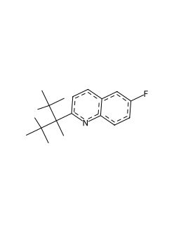 CC(C)(C)C(C)(c1ccc2cc(F)ccc2n1)C(C)(C)C